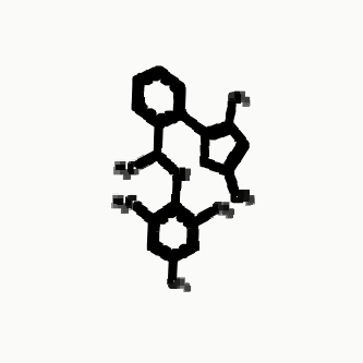 CC1=CC(C)=C(c2ccccc2C(C)Nc2c(C)cc(C)cc2C)C1